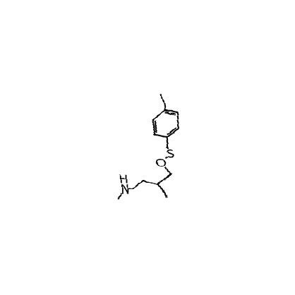 CNCCC(C)COSc1ccc(C)cc1